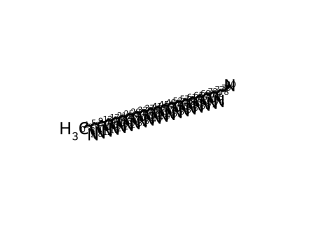 CCC(C#N)CC(C#N)CC(C#N)CC(C#N)CC(C#N)CC(C#N)CC(C#N)CC(C#N)CC(C#N)CC(C#N)CC(C#N)CC(C#N)CC(C#N)CC(C#N)CC(C#N)CC(C#N)CC(C#N)CC(C#N)CC(C#N)CCC#N